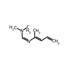 C=C/C=C(C)/N=C\N(C)C